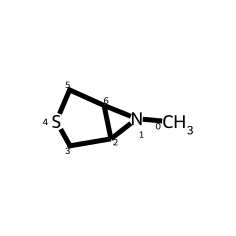 CN1C2CSCC21